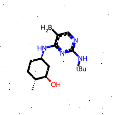 Bc1cnc(NC(C)(C)C)nc1N[C@@H]1CC[C@@H](C)[C@H](O)C1